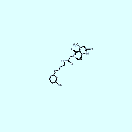 Cc1cc(=O)[nH]c2ncn(CC(=O)NCCCOc3cccc(C#N)c3)c(=O)c12